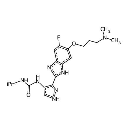 CC(C)NC(=O)Nc1c[nH]nc1-c1nc2cc(F)c(OCCCN(C)C)cc2[nH]1